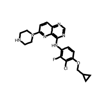 Fc1c(Nc2ncnc3ccc(N4CCNCC4)nc23)ccc(OCC2CC2)c1Cl